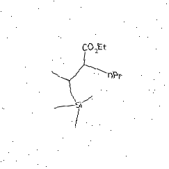 CCCC(C(=O)OCC)C(C)[Si](C)(C)C